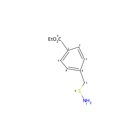 CCOC(=O)c1ccc(CSN)cc1